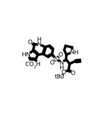 C#CC(C(=O)OC(C)(C)C)C(NS(=O)(=O)c1ccc2[nH]c(=O)c3[nH]cc(C(=O)O)c3c2c1)C1CCCN1